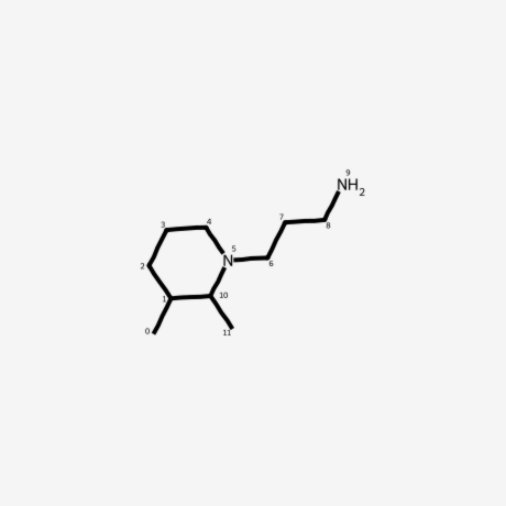 CC1CCCN(CCCN)C1C